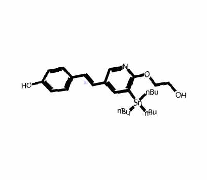 CCC[CH2][Sn]([CH2]CCC)([CH2]CCC)[c]1cc(/C=C/c2ccc(O)cc2)cnc1OCCO